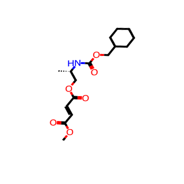 COC(=O)/C=C/C(=O)OC[C@H](C)NC(=O)OCC1CCCCC1